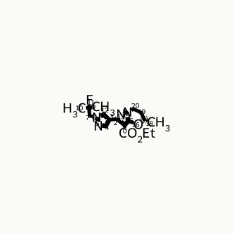 CCOC(=O)c1c(-c2cnn(CC(C)(C)F)c2)nn2c1O[C@@H](C)CC2